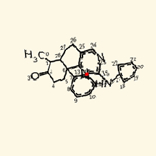 CC1C(=O)CCC2(c3ccccc3)c3nc(Nc4ccccc4)ncc3CCC12